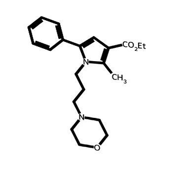 CCOC(=O)c1cc(-c2ccccc2)n(CCCN2CCOCC2)c1C